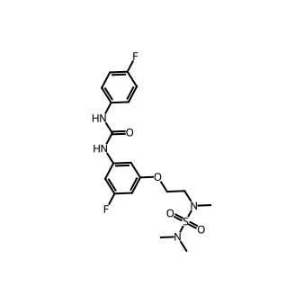 CN(C)S(=O)(=O)N(C)CCOc1cc(F)cc(NC(=O)Nc2ccc(F)cc2)c1